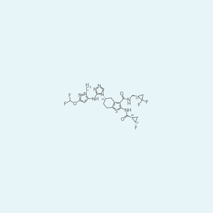 Cn1nc(OC(F)F)cc1Nc1nncn1[C@H]1CCc2sc(NC(=O)[C@H]3C[C@@H]3F)c(C(=O)NC[C@H]3CC3(F)F)c2C1